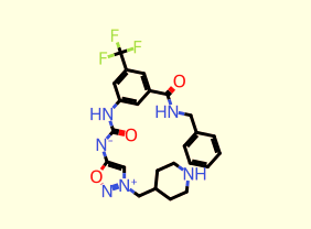 O=C([N-]c1c[n+](CC2CCNCC2)no1)Nc1cc(C(=O)NCc2ccccc2)cc(C(F)(F)F)c1